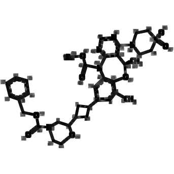 Cc1cc(C2CC(C3CN(C(=O)OCc4ccccc4)CCO3)C2)cc2c1O[C@H](C)c1c(N3CCS(=O)(=O)CC3)ncnc1N2C(=O)OC(C)(C)C